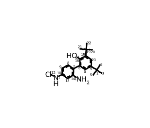 CC(C)(C)c1cc(-c2ccc(NCl)cc2N)c(O)c(C(C)(C)C)c1